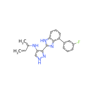 C=CC(=C)Nc1c[nH]nc1-c1nc2c(-c3cccc(F)c3)cccc2[nH]1